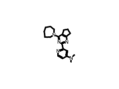 CN(C)c1ccnc(-c2nc3c(c(N4CCCCCC4)n2)CCC3)c1